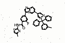 Cc1cccc(C(c2ccccc2)(c2ccccc2)n2cc(-c3ccc4ncc(-c5ccc(C(=O)Nc6nc(C)cs6)c(F)c5)n4c3)cn2)c1